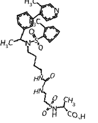 Cc1cnccc1-c1cccc(C(C)N(CCCCNC(=O)NCCS(=O)(=O)N[C@@H](C)C(=O)O)S(=O)(=O)c2ccccc2C(F)(F)F)c1